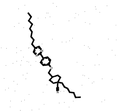 CCCCCCCCCc1cnc(-c2ccc(OCC3CCC(C#N)(CCCCCCC)CC3)cc2)nc1